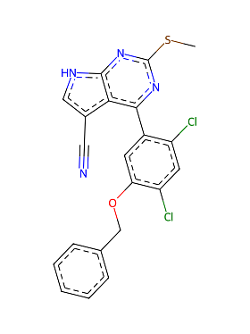 CSc1nc(-c2cc(OCc3ccccc3)c(Cl)cc2Cl)c2c(C#N)c[nH]c2n1